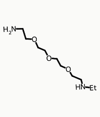 CCNCCOCCOCCOCCN